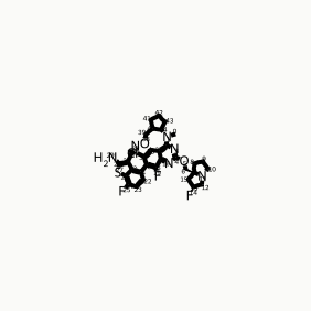 CN1c2nc(OC[C@@]34CCCN3C[C@H](F)C4)nc3c(F)c(-c4ccc(F)c5sc(N)c(C#N)c45)c(Cl)c(c23)OCC2CCCC21